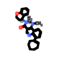 CN(C)c1c(C(=O)N[C@H]2CCOc3ccccc32)cnc2c(C3=CCCCCC3)cccc12